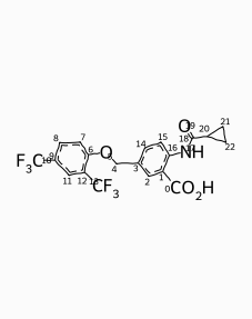 O=C(O)c1cc(COc2ccc(C(F)(F)F)cc2C(F)(F)F)ccc1NC(=O)C1CC1